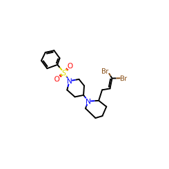 O=S(=O)(c1ccccc1)N1CCC(N2CCCCC2CC=C(Br)Br)CC1